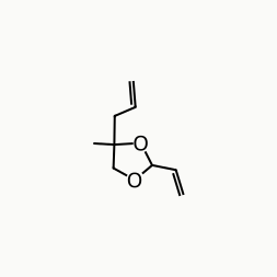 C=CCC1(C)COC(C=C)O1